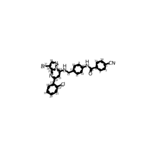 N#Cc1ccc(C(=O)Nc2ccc(CNc3cc(-c4ccccc4Cl)nc4c(Br)cnn34)cc2)cc1